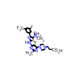 Cc1nc(Nc2nc(-c3cc(F)cc(C(F)(F)F)c3)c(N(C)C)s2)c(F)c(N2CCN(CCC(=O)O)CC2)n1